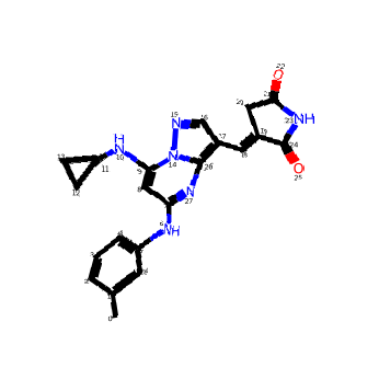 Cc1cccc(Nc2cc(NC3CC3)n3ncc(/C=C4\CC(=O)NC4=O)c3n2)c1